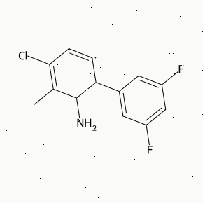 CC1=C(Cl)C=[C]C(c2cc(F)cc(F)c2)C1N